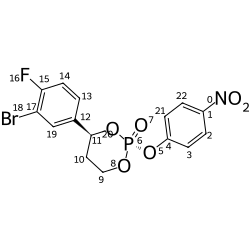 O=[N+]([O-])c1ccc(O[P@]2(=O)OCC[C@@H](c3ccc(F)c(Br)c3)O2)cc1